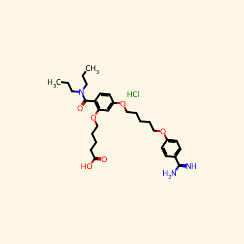 CCCN(CCC)C(=O)c1ccc(OCCCCCOc2ccc(C(=N)N)cc2)cc1OCCCCC(=O)O.Cl